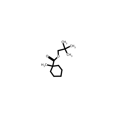 CC(C)(C)COC(=O)C1(C)CCCCC1